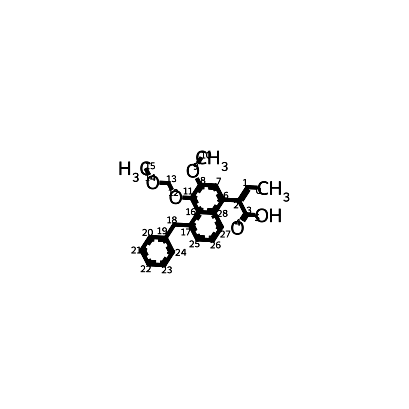 CC=C(C(=O)O)c1cc(OC)c(OCOC)c2c(Cc3ccccc3)cccc12